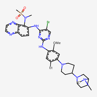 CCc1cc(Nc2ncc(Br)c(Nc3ccc4nccnc4c3N(C)S(C)(=O)=O)n2)c(OC)cc1N1CCC(N2CC3CCC2CN3C)CC1